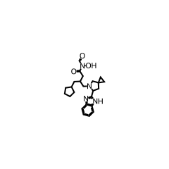 O=CN(O)C(=O)CC(CC1CCCC1)CN1CC2(CC2)CC1c1nc2ccccc2[nH]1